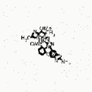 COc1cccc(OC)c1-n1c(NS(=O)(=O)[C@@H](C)[C@H](OC)c2ncc(C)cn2)nnc1-c1ccc2nc(N)sc2c1